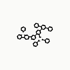 c1ccc(-c2ccc(-c3ccccc3)c(-c3ccc(-c4ccc5oc6cc7c8ccccc8n(-c8ccccc8)c7cc6c5c4)c(-c4nc(-c5ccccc5)nc(-c5ccccc5)n4)c3)c2)cc1